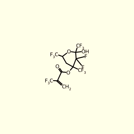 C=C(C(=O)OC1(C(F)(F)F)CC(C(F)(F)F)OC(O)(C(F)(F)F)C1(F)F)C(F)(F)F